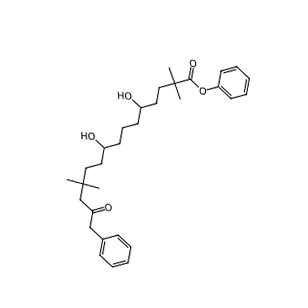 CC(C)(CCC(O)CCCC(O)CCC(C)(C)C(=O)Oc1ccccc1)CC(=O)Cc1ccccc1